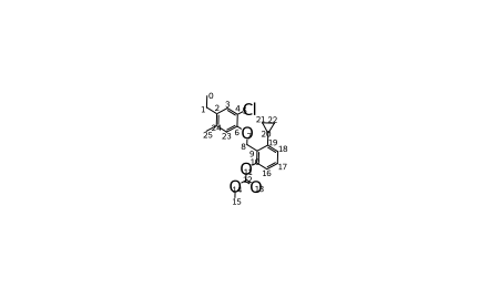 CCc1cc(Cl)c(OCc2c(OC(=O)OC)cccc2C2CC2)cc1C